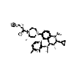 CC(=O)N1c2ccc(N3CCN(C(=O)OC(C)(C)C)[C@@H](C)C3)cc2C(Nc2nccc(C)n2)[C@@H](C)C1C1CC1